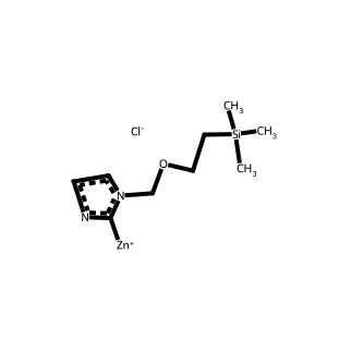 C[Si](C)(C)CCOCn1ccn[c]1[Zn+].[Cl-]